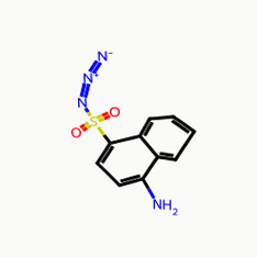 [N-]=[N+]=NS(=O)(=O)c1ccc(N)c2ccccc12